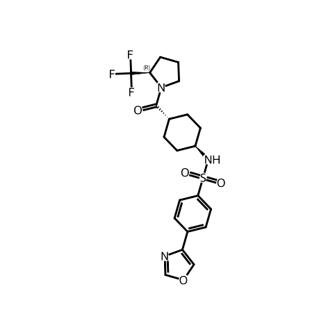 O=C([C@H]1CC[C@H](NS(=O)(=O)c2ccc(-c3cocn3)cc2)CC1)N1CCC[C@@H]1C(F)(F)F